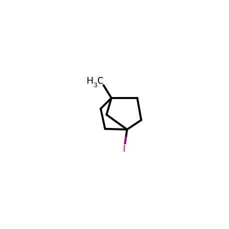 CC12CCC(I)(CC1)C2